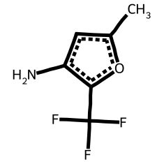 Cc1cc(N)c(C(F)(F)F)o1